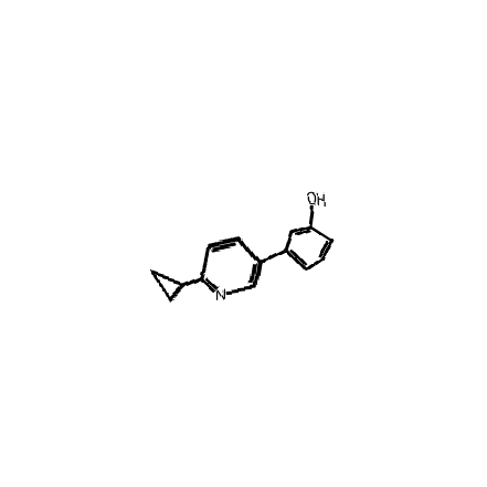 Oc1cccc(-c2ccc(C3CC3)nc2)c1